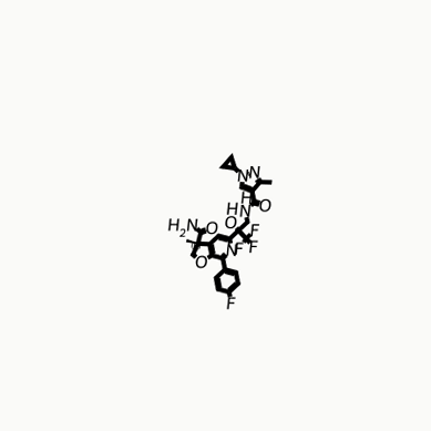 Cc1nn(C2CC2)cc1C(=O)NCC(O)(c1cc2c(c(-c3ccc(F)cc3)n1)OC[C@]2(C)C(N)=O)C(F)(F)F